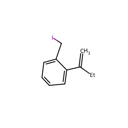 C=C(CC)c1ccccc1CI